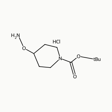 CC(C)(C)OC(=O)N1CCC(ON)CC1.Cl